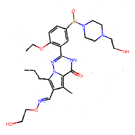 CCCc1c(/C=N/OCCO)c(C)c2c(=O)[nH]c(-c3cc([S+]([O-])N4CCN(CCO)CC4)ccc3OCC)nn12